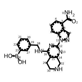 NC(=O)c1cccc2c1cnn2-c1nc2c(c(NCc3cccc(B(O)O)c3)n1)CCNC2